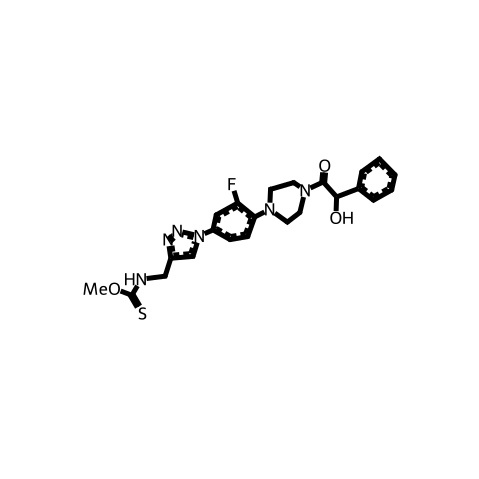 COC(=S)NCc1cn(-c2ccc(N3CCN(C(=O)C(O)c4ccccc4)CC3)c(F)c2)nn1